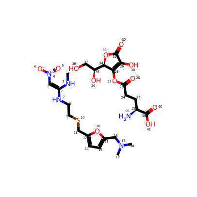 CNC(=C[N+](=O)[O-])NCCSCc1ccc(CN(C)C)o1.N[C@@H](CCC(=O)OC1=C(O)C(=O)O[C@@H]1[C@@H](O)CO)C(=O)O